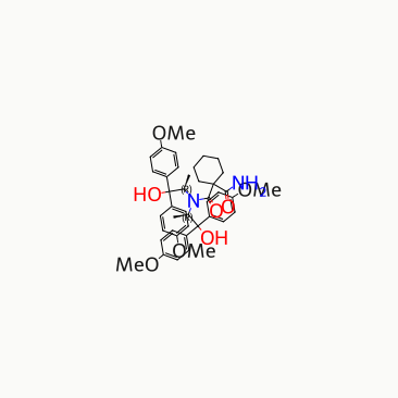 COc1ccc(C(O)(c2ccc(OC)cc2)[C@@H](C)N(C(=O)C2(C(N)=O)CCCCC2)[C@H](C)C(O)(c2ccc(OC)cc2)c2ccc(OC)cc2)cc1